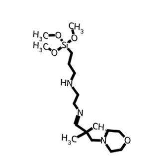 CO[Si](CCCNCCN=CC(C)(C)CN1CCOCC1)(OC)OC